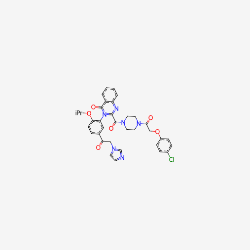 CC(C)Oc1ccc(C(=O)Cn2ccnc2)cc1-n1c(C(=O)N2CCN(C(=O)COc3ccc(Cl)cc3)CC2)nc2ccccc2c1=O